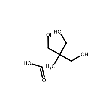 CC(CO)(CO)CO.O=CO